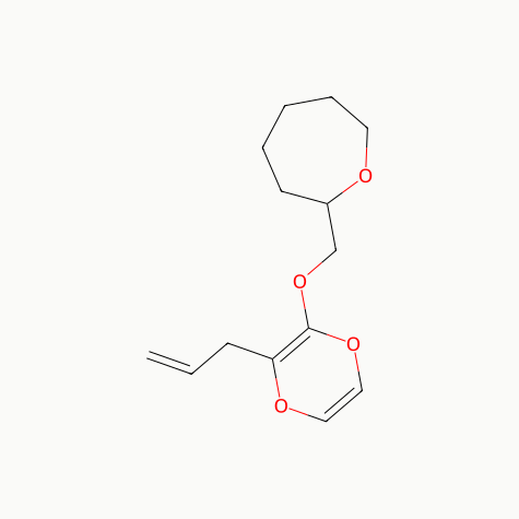 C=CCC1=C(OCC2CCCCCO2)OC=CO1